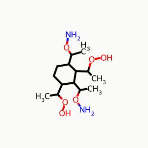 CC(OO)C1CCC(C(C)ON)C(C(C)OO)C1C(C)ON